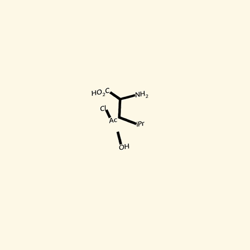 CC(=O)Cl.CC(C)CC(N)C(=O)O.CO